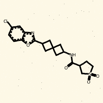 O=C(NC1CC2(C1)CC(c1nc3cc(Cl)ccc3o1)C2)C1CCS(=O)(=O)C1